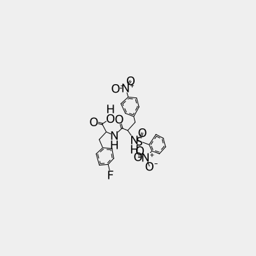 O=C(O)C(Cc1ccc(F)cc1)NC(=O)C(Cc1ccc([N+](=O)[O-])cc1)NS(=O)(=O)c1ccccc1[N+](=O)[O-]